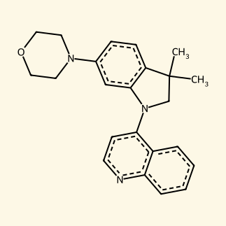 CC1(C)CN(c2ccnc3ccccc23)c2cc(N3CCOCC3)ccc21